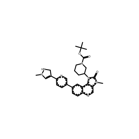 CN1C=C(c2ccc(-c3ccc4ncc5c(c4c3)n(C3CCCN(C(=O)OC(C)(C)C)C3)c(=O)n5C)cn2)CN1